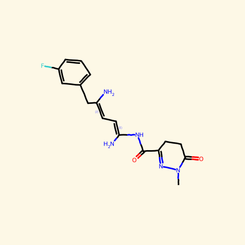 CN1N=C(C(=O)N/C(N)=C/C=C(\N)Cc2cccc(F)c2)CCC1=O